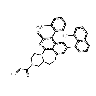 C=CC(=O)N1CCN2c3nc(=O)n(-c4ccccc4C)c4cc(-c5cccc6cccc(C)c56)cc(c34)OCC2C1